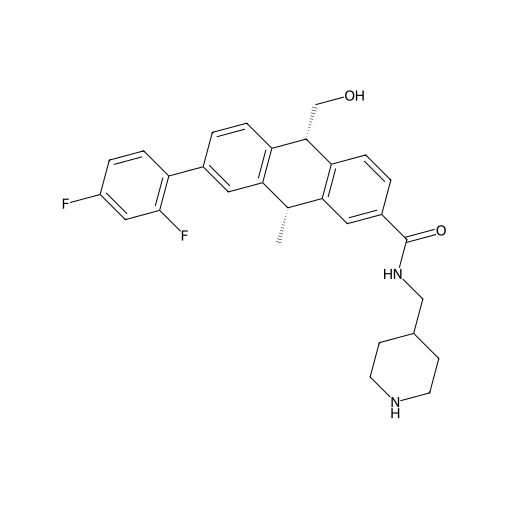 C[C@H]1c2cc(C(=O)NCC3CCNCC3)ccc2[C@@H](CO)c2ccc(-c3ccc(F)cc3F)cc21